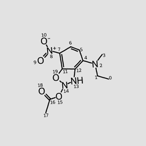 CCN(C)c1ccc([N+](=O)[O-])c2c1NN(OC(C)=O)O2